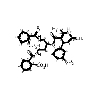 CC1=CC(c2cccc([N+](=O)[O-])c2)C(C(=O)OC(CCNC(=O)c2ccccc2C(=O)O)CNC(=O)c2ccccc2C(=O)O)=C(C)N1